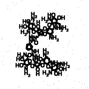 NCC1O[C@H](OC2C(N)C[C@@H](N)C(O)[C@H]2O[C@@H]2O[C@H](CNC(=O)Nc3cccc(NC(=O)NC[C@H]4O[C@@H](OC5C(O[C@@H]6OC(CN)C(O)[C@H](O)C6N)C(N)C[C@H](N)[C@@H]5O)C(O)C4O[C@@H]4O[C@H](CN)C(O)C(O)C4N)c3)C(O[C@H]3O[C@@H](CN)C(O)C(O)C3N)[C@@H]2O)C(N)[C@@H](O)C1O